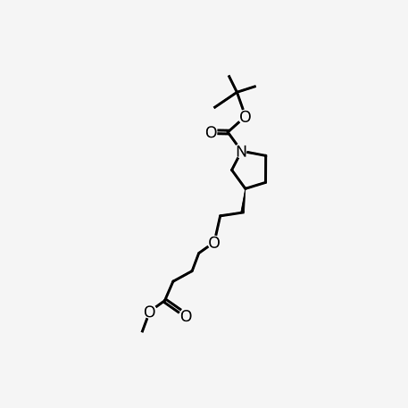 COC(=O)CCCOCC[C@@H]1CCN(C(=O)OC(C)(C)C)C1